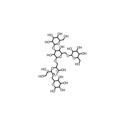 C[C@H](O)C(COC1OC(COC2OC(CO)C(O)C(O)C2O)C(O)C(OC2OC(CO)C(O)C(O)C2O)C1O)OC(OCC1OC(O)C(O)C(O)C1O)[C@@H](O)CO